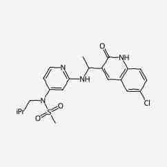 CC(C)CN(c1ccnc(NC(C)c2cc3cc(Cl)ccc3[nH]c2=O)c1)S(C)(=O)=O